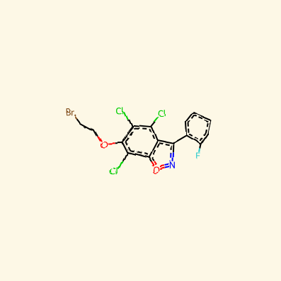 Fc1ccccc1-c1noc2c(Cl)c(OCCBr)c(Cl)c(Cl)c12